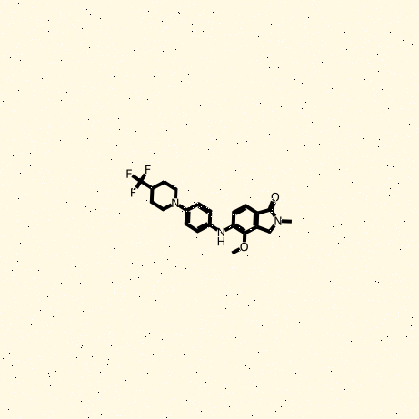 COc1c(Nc2ccc(N3CCC(C(F)(F)F)CC3)cc2)ccc2c1CN(C)C2=O